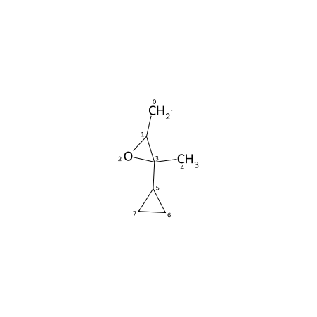 [CH2]C1OC1(C)C1CC1